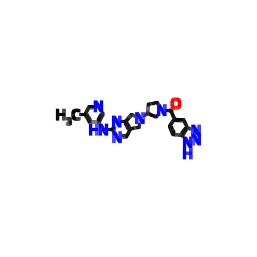 Cc1cncc(Nc2ncc3c(n2)CN(C2CCN(C(=O)c4ccc5[nH]nnc5c4)C2)C3)c1